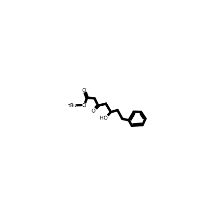 CC(C)(C)OC(=O)CC(=O)CC(O)CCc1ccccc1